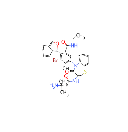 CCNC(=O)c1cc(N2C(=O)C(NC(=O)CC(C)(C)N)CSc3ccccc32)c(C)c(Br)c1-c1occ2ccccc12